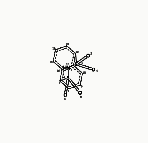 O=S1(=O)NS(=O)(=O)c2cccc3c1cccc23